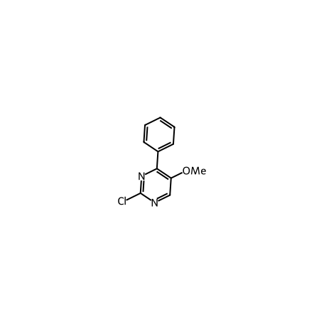 COc1cnc(Cl)nc1-c1ccccc1